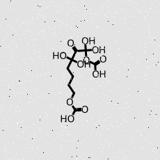 O=C(O)OCCCCC(O)(O)C(=O)C(O)(O)OC(=O)O